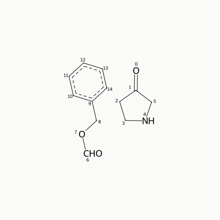 O=C1CCNC1.O=COCc1ccccc1